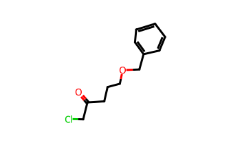 O=C(CCl)CCCOCc1ccccc1